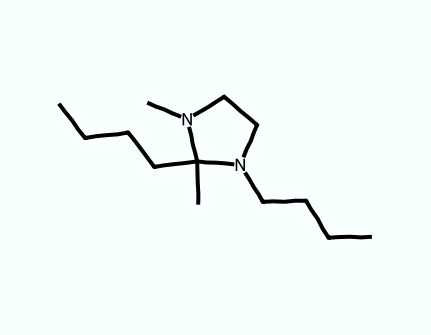 CCCCN1CCN(C)C1(C)CCCC